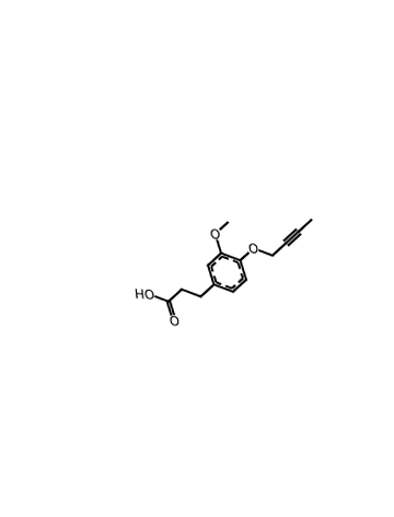 CC#CCOc1ccc(CCC(=O)O)cc1OC